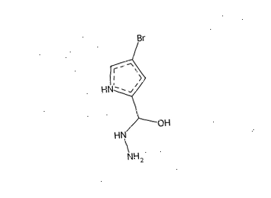 NNC(O)c1cc(Br)c[nH]1